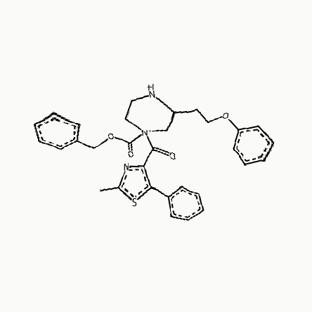 Cc1nc(C(=O)[N+]2(C(=O)OCc3ccccc3)CCNC(CCOc3ccccc3)C2)c(-c2ccccc2)s1